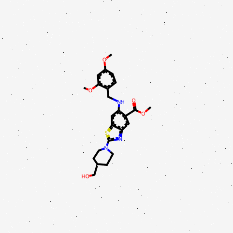 COC(=O)c1cc2nc(N3CCC(CO)CC3)sc2cc1NCc1ccc(OC)cc1OC